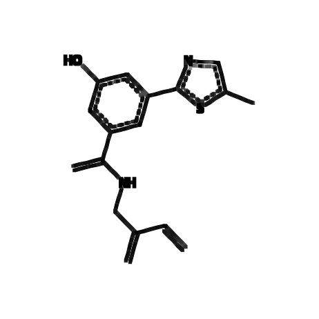 C=CC(=C)CNC(=C)c1cc(O)cc(-c2ncc(C)s2)c1